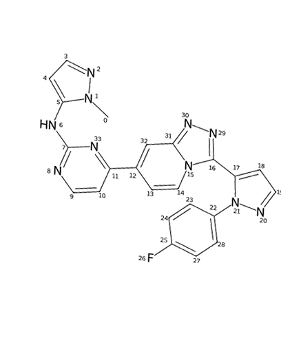 Cn1nccc1Nc1nccc(-c2ccn3c(-c4ccnn4-c4ccc(F)cc4)nnc3c2)n1